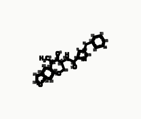 CN1C(=O)[C@@H](NC(=O)c2cn(Cc3ccccc3)cn2)COc2cc3occc3cc21